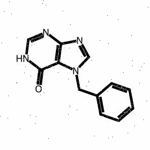 O=c1[nH]cnc2ncn(Cc3ccccc3)c12